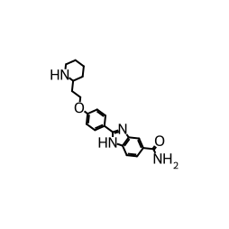 NC(=O)c1ccc2[nH]c(-c3ccc(OCCC4CCCCN4)cc3)nc2c1